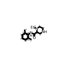 CCN1CCNCC1C(=O)Nc1c(C)cccc1C